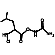 CC(C)C[C@H](NCl)C(=O)ONC(N)=O